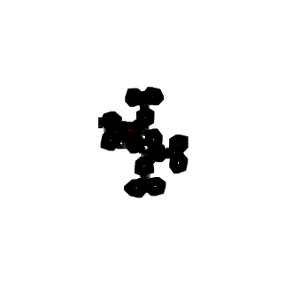 N#Cc1cc(C(F)(F)F)ccc1-c1ccc(-n2c3ccc(-n4c5ccccc5c5ccccc54)cc3c3cc(-n4c5ccccc5c5ccccc54)ccc32)c(-c2c(C#N)cccc2-n2c3ccc(-n4c5ccccc5c5ccccc54)cc3c3cc(-n4c5ccccc5c5ccccc54)ccc32)c1